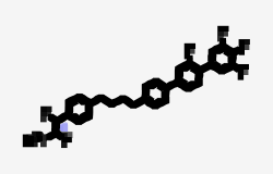 CCC/C(F)=C(\F)c1ccc(CCCCc2ccc(-c3ccc(-c4cc(F)c(F)c(F)c4)c(F)c3)cc2)cc1